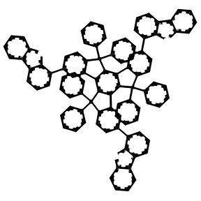 c1ccc(C2(c3ccccc3)c3ccc(-c4cccc5c4sc4ccccc45)cc3-c3c2c2c(c4c3C(c3ccccc3)(c3ccccc3)c3ccc(-c5cccc6c5sc5ccccc56)cc3-4)C(c3ccccc3)(c3ccccc3)c3ccc(-c4cccc5c4sc4ccccc45)cc3-2)cc1